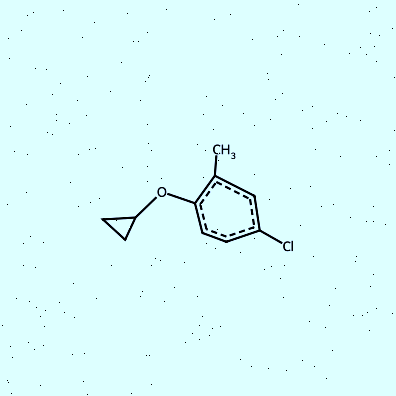 Cc1cc(Cl)ccc1OC1CC1